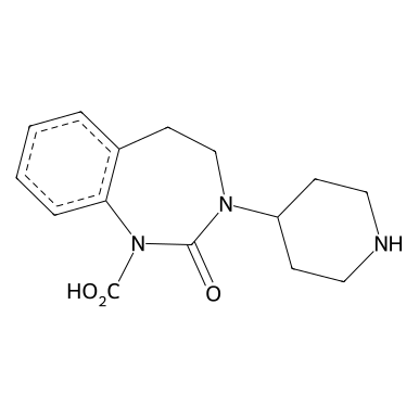 O=C(O)N1C(=O)N(C2CCNCC2)CCc2ccccc21